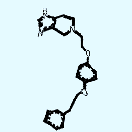 C1=CN(CCOc2ccc(OCCc3ccccc3)cc2)Cc2nc[nH]c21